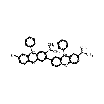 CN(C)c1ccc2nc3ccc(-c4cc5nc6ccc(Cl)cc6[n+](-c6ccccc6)c5cc4N(C)C)cc3[n+](-c3ccccc3)c2c1